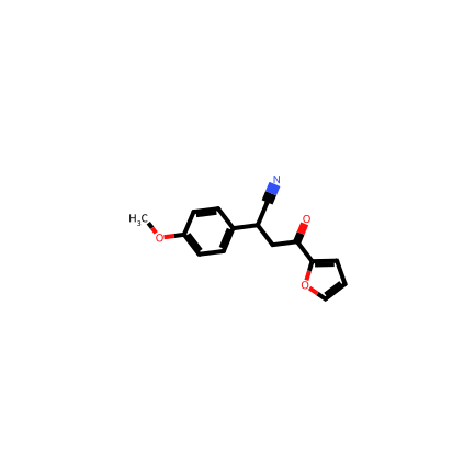 COc1ccc(C(C#N)CC(=O)c2ccco2)cc1